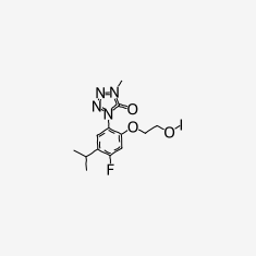 CC(C)c1cc(-n2nnn(C)c2=O)c(OCCOI)cc1F